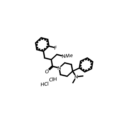 CNCC(Cc1ccccc1F)C(=O)N1CCC(c2ccccc2)(N(C)C)CC1.Cl.Cl